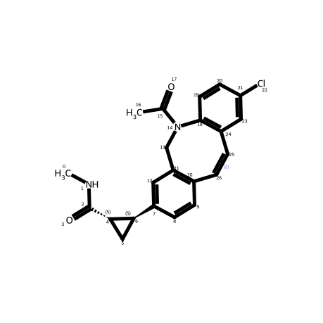 CNC(=O)[C@H]1C[C@@H]1c1ccc2c(c1)CN(C(C)=O)c1ccc(Cl)cc1/C=C\2